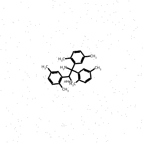 CCCCCCC(c1cc(C)ccc1C)C(N)(c1cc(C)ccc1C)c1cc(C)ccc1C